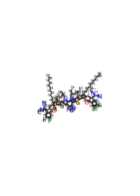 [C-]#[N+]/C(C#N)=C1\C(=C\c2sc3c(sc4c3sc3c5c6nsnc6c6c7sc8c9sc(/C=C%10\C(=O)c%11cc(F)c(F)cc%11\C%10=C(\C#N)[N+]#[C-])c(CCCCCCCCCCC)c9sc8c7n(CC(CC)CCCC)c6c5n(CC(CC)CCCC)c43)c2CCCCCCCCCCC)C(=O)c2cc(F)c(F)cc21